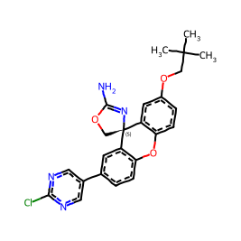 CC(C)(C)COc1ccc2c(c1)[C@]1(COC(N)=N1)c1cc(-c3cnc(Cl)nc3)ccc1O2